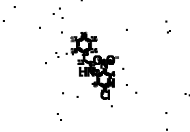 O=[N+]([O-])c1cnc(Cl)cc1NCCc1ccccc1